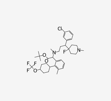 Cc1cccc(C(C(=O)OC(C)(C)C)N(C)CCC(c2cccc(Cl)c2)C2(F)CCN(C)CC2)c1C1CCC(OC(F)(F)F)CC1